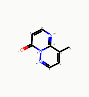 Cc1ccnn2c(=O)ccnc12